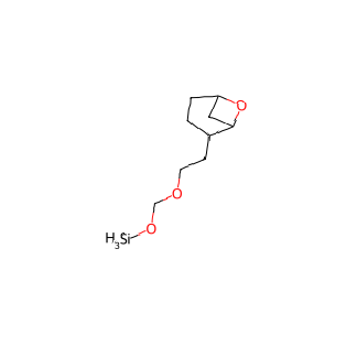 [SiH3]OCOCCC1CCC2CC1O2